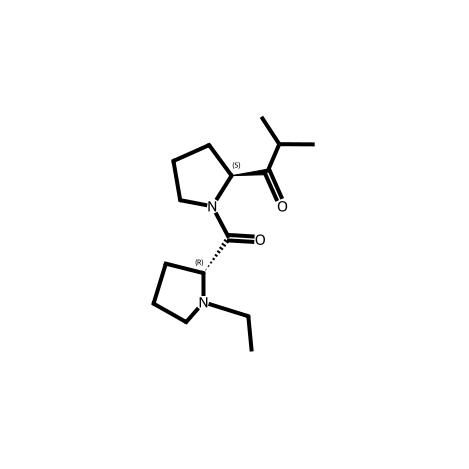 CCN1CCC[C@@H]1C(=O)N1CCC[C@H]1C(=O)C(C)C